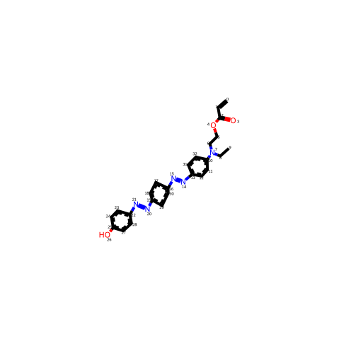 C=CC(=O)OCCN(CC)c1ccc(N=Nc2ccc(N=Nc3ccc(O)cc3)cc2)cc1